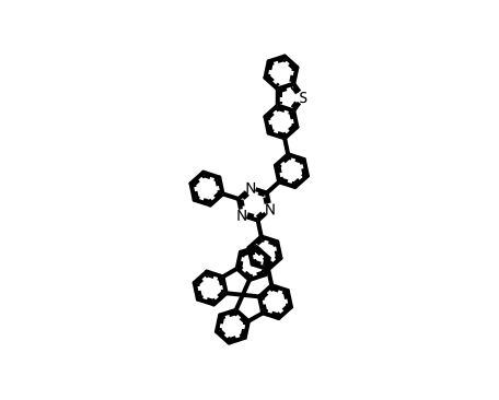 c1ccc(-c2nc(-c3ccc(-c4cccc5c4C4(c6ccccc6-c6ccccc64)c4ccccc4-5)cc3)nc(-c3cccc(-c4ccc5c(c4)sc4ccccc45)c3)n2)cc1